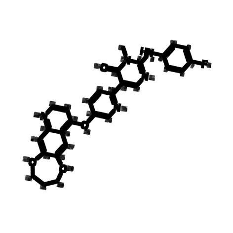 Cn1c(Nc2ccc(F)cc2)ncc(-c2ccc(Oc3ccnc4cc5c(cc34)OCCCO5)cn2)c1=O